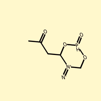 CC(=O)CC1O[PH](=O)OC[N+]1=[N-]